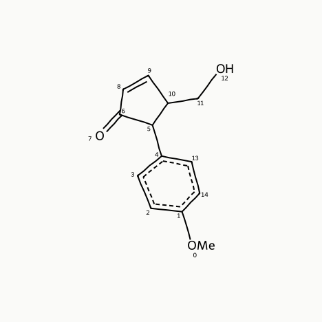 COc1ccc(C2C(=O)C=CC2CO)cc1